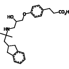 CC(C)(CC1Cc2ccccc2C1)NCC(O)COc1ccc(CCC(=O)O)cc1